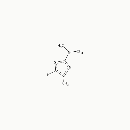 Cc1nc(N(C)C)sc1I